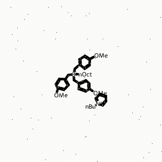 CCCCCCCC[B-](Cc1ccc(OC)cc1)(Cc1ccc(OC)cc1)Cc1ccc(OC)cc1.CCCC[n+]1ccccc1